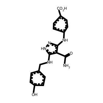 NC(=O)c1c(Nc2ccc(C(=O)O)cc2)n[nH]c1NCc1ccc(O)cc1